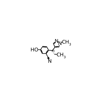 CC[C@@H](c1cnn(C)c1)c1ccc(O)cc1C#N